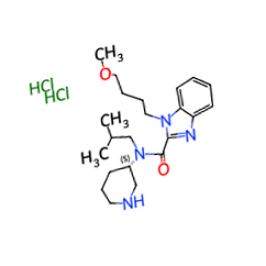 COCCCCn1c(C(=O)N(CC(C)C)[C@H]2CCCNC2)nc2ccccc21.Cl.Cl